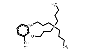 CCCC[N+](CCCC)(CCCC)CCCC.Oc1ccccc1.[Cl-]